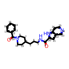 O=C(NCCCC1CCN(C(=O)c2ccccc2)CC1)c1cc2cnccc2[nH]1